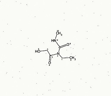 CCN(C(=O)CO)C(=O)NC